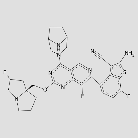 N#Cc1c(N)sc2c(F)ccc(-c3ncc4c(N5CC6CCC(C5)N6)nc(OC[C@@]56CCCN5C[C@H](F)C6)nc4c3F)c12